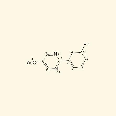 CC(=O)Oc1cnc(-c2cccc(F)c2)nc1